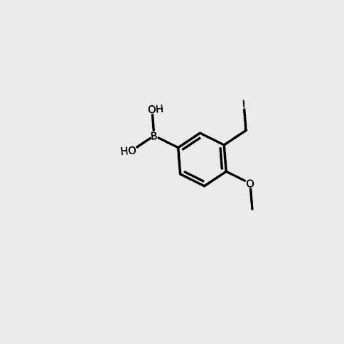 COc1ccc(B(O)O)cc1CI